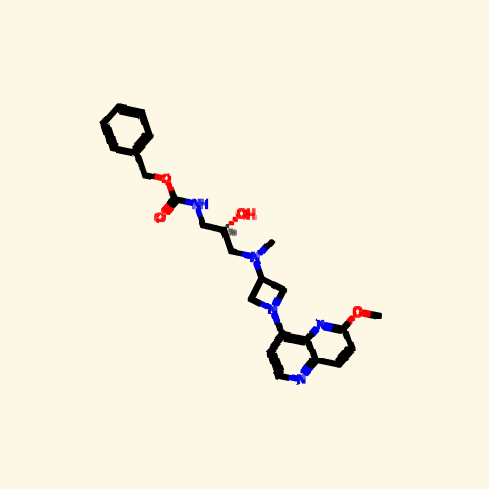 COc1ccc2nccc(N3CC(N(C)C[C@@H](O)CNC(=O)OCc4ccccc4)C3)c2n1